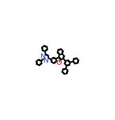 c1ccc(-c2cc(-c3ccccc3)cc(-c3cc4ccccc4c4c3oc3ccc(-c5cc(-c6ccccc6)nc(-c6ccccc6)n5)cc34)c2)cc1